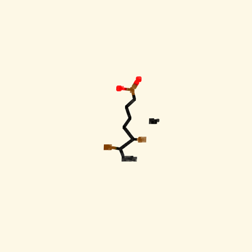 CC(=O)NC(S)C(S)CCCCS(=O)[O-].[Na+]